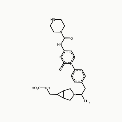 CC(Cc1ccc(-n2ccc(NC(=O)N3CCNCC3)nc2=O)cc1)N1CC2C(CNC(=O)O)C2C1